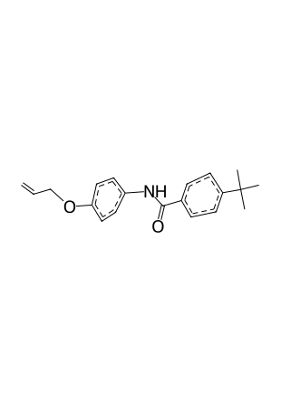 C=CCOc1ccc(NC(=O)c2ccc(C(C)(C)C)cc2)cc1